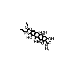 CCCC(Nc1ccc2c(c1O)C(=O)C1=C(O)[C@]3(O)C(=O)C(C(N)=O)C(O)C[C@@H]3[C@@H](O)[C@@H]1[C@H]2C)C(=O)OCC